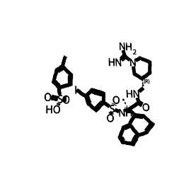 C[C@](NS(=O)(=O)c1ccc(I)cc1)(C(=O)NC[C@H]1CCCN(C(=N)N)C1)c1cccc2ccccc12.Cc1ccc(S(=O)(=O)O)cc1